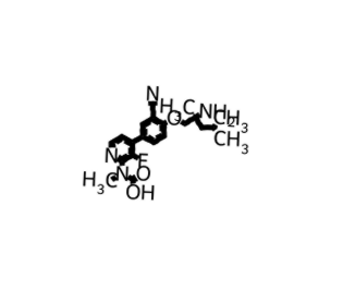 CC(C)C[C@](C)(N)COc1ccc(-c2ccnc(N(C)C(=O)O)c2F)cc1C#N